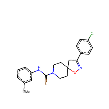 COc1cccc(NC(=S)N2CCC3(CC2)CC(c2ccc(Cl)cc2)=NO3)c1